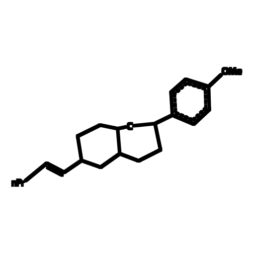 CCC/C=C/C1CCC2CC(c3ccc(OC)cc3)CCC2C1